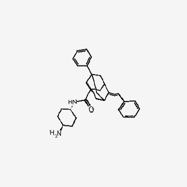 N[C@H]1CC[C@H](NC(=O)C23CC4CC(c5ccccc5)(CC(C2)C4=Cc2ccccc2)C3)CC1